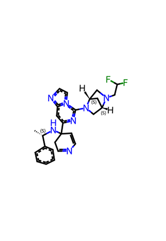 C[C@H](NC1(c2cc3nccn3c(N3C[C@@H]4C[C@H]3CN4CC(F)F)n2)C=CN=CC1)c1ccccc1